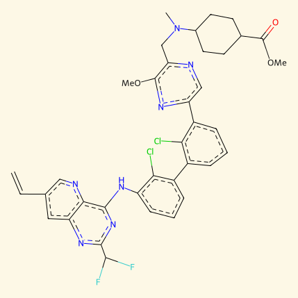 C=Cc1cnc2c(Nc3cccc(-c4cccc(-c5cnc(CN(C)C6CCC(C(=O)OC)CC6)c(OC)n5)c4Cl)c3Cl)nc(C(F)F)nc2c1